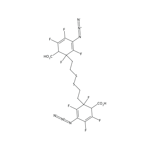 [N-]=[N+]=NC1=C(F)C(F)(CCSSCCC2(F)C(F)=C(N=[N+]=[N-])C(F)=C(F)C2C(=O)O)C(C(=O)O)C(F)=C1F